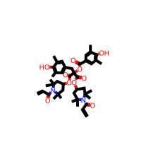 C=CC(=O)N1C(C)(C)CC(OC(=O)C(Cc2cc(C)c(O)c(C)c2)(OC(=O)c2cc(C)c(O)c(C)c2)C(=O)OC2CC(C)(C)N(C(=O)C=C)C(C)(C)C2)CC1(C)C